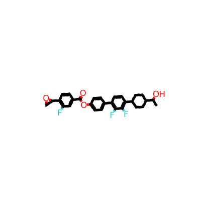 CC(O)C1CCC(c2ccc(-c3ccc(OC(=O)c4ccc(C5CO5)c(F)c4)cc3)c(F)c2F)CC1